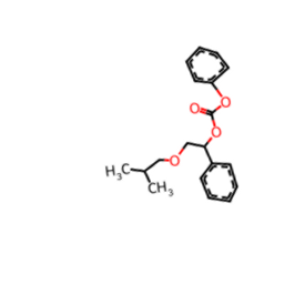 CC(C)COCC(OC(=O)Oc1ccccc1)c1ccccc1